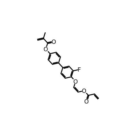 C=CC(=O)O/C=C\Oc1ccc(-c2ccc(OC(=O)C(=C)C)cc2)cc1F